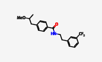 COC(C)Cc1ccc(C(=O)NCCc2cccc(C(F)(F)F)c2)cc1